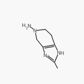 Cc1nc2c([nH]1)CCN(N)C2